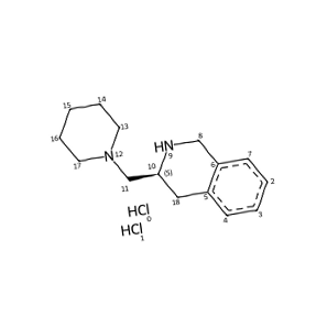 Cl.Cl.c1ccc2c(c1)CN[C@H](CN1CCCCC1)C2